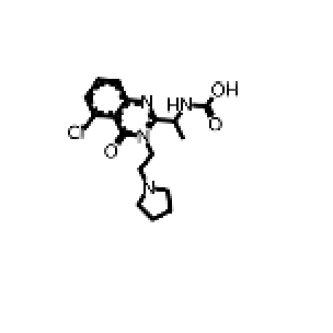 CC(NC(=O)O)c1nc2cccc(Cl)c2c(=O)n1CCN1CCCC1